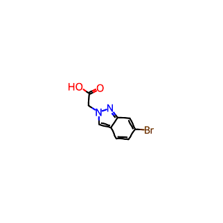 O=C(O)Cn1cc2ccc(Br)cc2n1